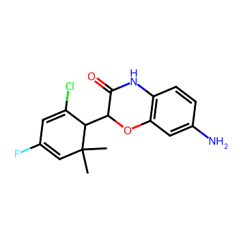 CC1(C)C=C(F)C=C(Cl)C1C1Oc2cc(N)ccc2NC1=O